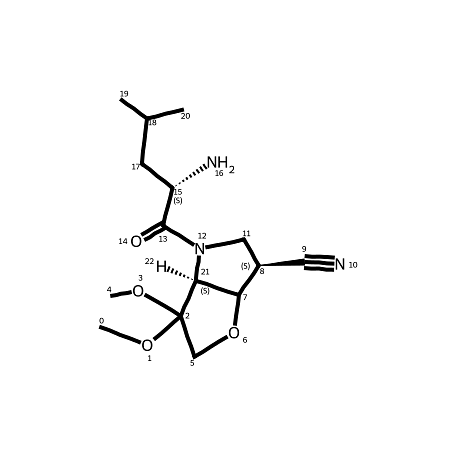 COC1(OC)COC2[C@H](C#N)CN(C(=O)[C@@H](N)CC(C)C)[C@@H]21